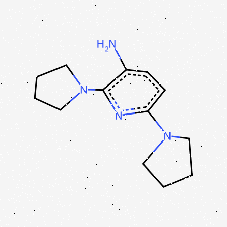 Nc1ccc(N2CCCC2)nc1N1CCCC1